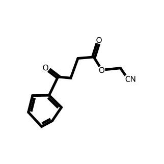 N#CCOC(=O)CCC(=O)c1ccccc1